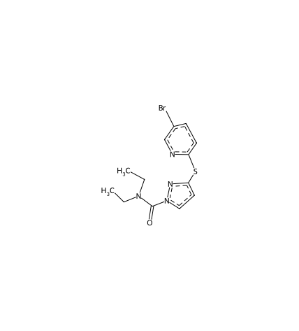 CCN(CC)C(=O)n1ccc(Sc2ccc(Br)cn2)n1